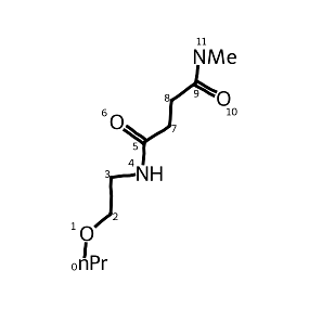 CCCOCCNC(=O)CCC(=O)NC